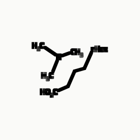 CCCCCCCCCC(=O)O.CN(C)C